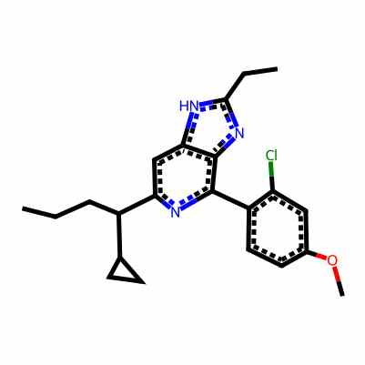 CCCC(c1cc2[nH]c(CC)nc2c(-c2ccc(OC)cc2Cl)n1)C1CC1